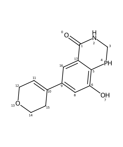 O=C1NCPc2c(O)cc(C3=CCOCC3)cc21